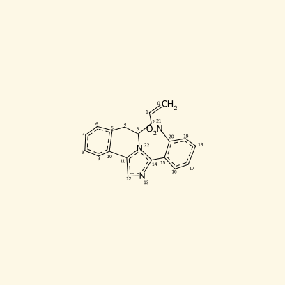 C=CCC1Cc2ccccc2-c2cnc(-c3ccccc3[N+](=O)[O-])n21